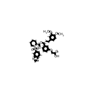 COc1ccc(CC[C@@H](OC(=O)[C@@H]2CCCCN2S(=O)(=O)c2ccc3scnc3c2)c2cccc(OCC(=O)O)c2)cc1OC